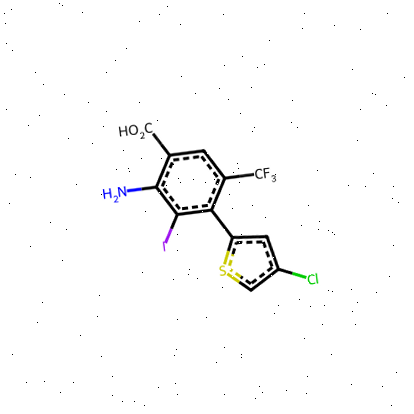 Nc1c(C(=O)O)cc(C(F)(F)F)c(-c2cc(Cl)cs2)c1I